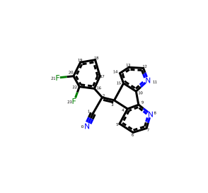 N#CC(=C1c2cccnc2-c2ncccc21)c1cccc(F)c1F